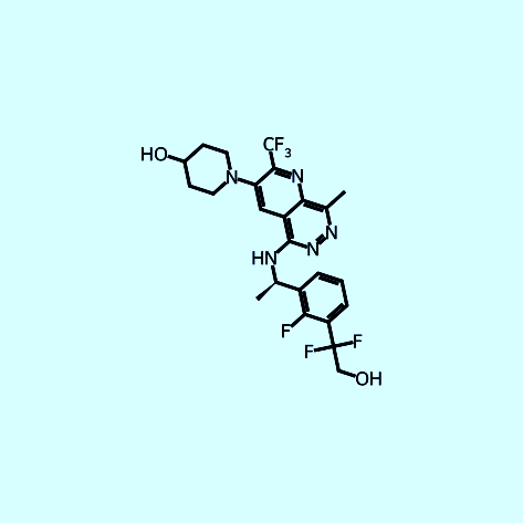 Cc1nnc(N[C@H](C)c2cccc(C(F)(F)CO)c2F)c2cc(N3CCC(O)CC3)c(C(F)(F)F)nc12